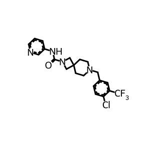 O=C(Nc1cccnc1)N1CC2(CCN(Cc3ccc(Cl)c(C(F)(F)F)c3)CC2)C1